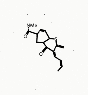 C=C1SC2C=CC(C(=O)NC)CC2C(=O)/C1=C/C=C\C